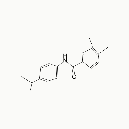 Cc1ccc(C(=O)Nc2ccc(C(C)C)cc2)cc1C